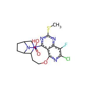 CSc1nc2c3c(nc(Cl)c(F)c3n1)OCCC1C3CCC(CN21)N3C(=O)O